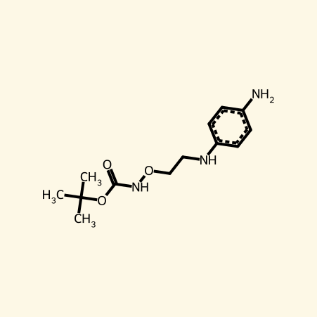 CC(C)(C)OC(=O)NOCCNc1ccc(N)cc1